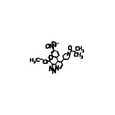 CCOC(=O)c1nnn2ccc(C3=CCN(C(=O)C(C)C)CC3)c(-c3ccc([N+](=O)[O-])cc3)c12